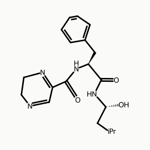 CC(C)C[C@@H](O)NC(=O)[C@H](Cc1ccccc1)NC(=O)C1=NCCN=C1